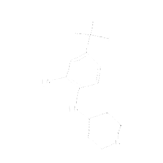 Nc1cc(C(F)(F)F)ccc1NC1CCNCC1